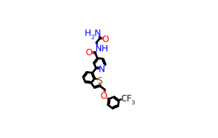 NC(=O)CNC(=O)c1ccnc(-c2cccc3cc(COc4cccc(C(F)(F)F)c4)sc23)c1